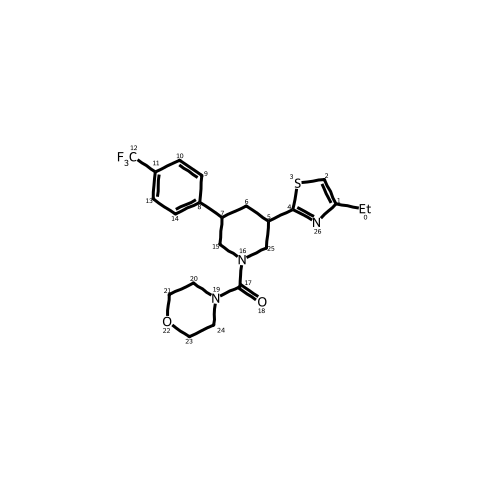 CCc1csc(C2CC(c3ccc(C(F)(F)F)cc3)CN(C(=O)N3CCOCC3)C2)n1